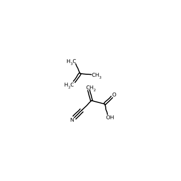 C=C(C#N)C(=O)O.C=C(C)C